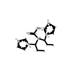 CCC(N(C(N)=O)C(CC)n1ccnc1)n1ccnc1